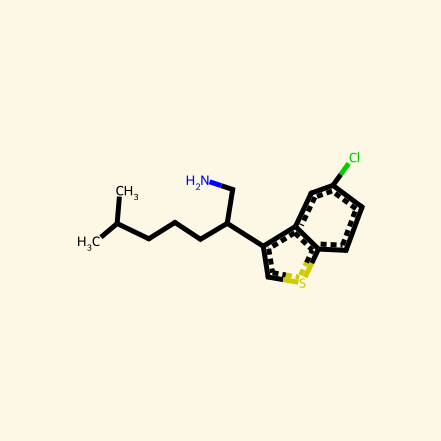 CC(C)CCCC(CN)c1csc2ccc(Cl)cc12